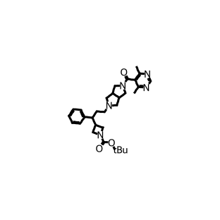 Cc1ncnc(C)c1C(=O)N1CC2CN(CCC(c3ccccc3)C3CN(C(=O)OC(C)(C)C)C3)CC2C1